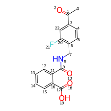 CC(=O)c1ccc(CNC(=O)c2ccccc2C(=O)O)c(F)c1